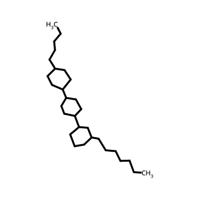 CCCCCCCC1CCCC(C2CCC(C3CCC(CCCCC)CC3)CC2)C1